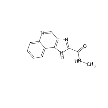 CNC(=O)c1nc2cnc3ccccc3c2[nH]1